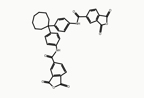 O=C(Nc1ccc(C2(c3ccc(NC(=O)c4ccc5c(c4)C(=O)OC5=O)cc3)CCCCCCC2)cc1)c1ccc2c(c1)C(=O)OC2=O